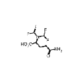 NC(=O)CC[C@@H](C(=O)O)N(C(F)F)C(F)F